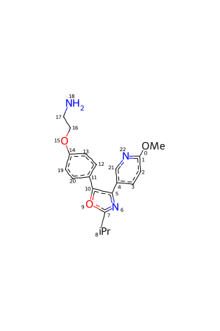 COc1ccc(-c2nc(C(C)C)oc2-c2ccc(OCCN)cc2)cn1